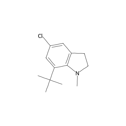 CN1CCc2cc(Cl)cc(C(C)(C)C)c21